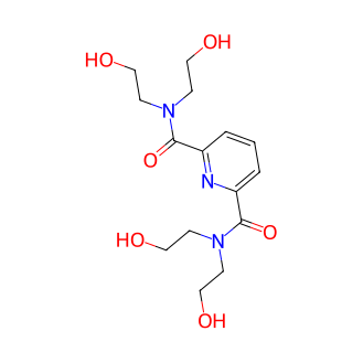 O=C(c1cccc(C(=O)N(CCO)CCO)n1)N(CCO)CCO